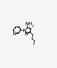 CCCCc1cc(N)n(-c2cccnc2)n1